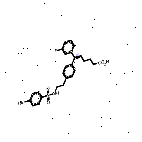 CC(C)(C)c1ccc(S(=O)(=O)NCCc2ccc(/C(=C\CCCC(=O)O)c3cccc(F)c3)cc2)cc1